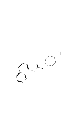 CC1CCN(CC(=O)Nc2cccc3ccccc23)CC1